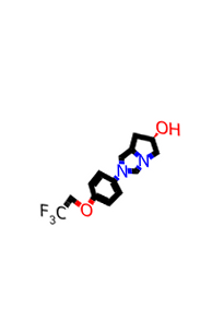 O[C@H]1CC2CN(c3ccc(OCC(F)(F)F)cc3)CN2C1